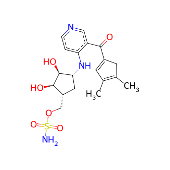 CC1=C(C)CC(C(=O)c2cnccc2N[C@@H]2C[C@H](COS(N)(=O)=O)[C@@H](O)[C@H]2O)=C1